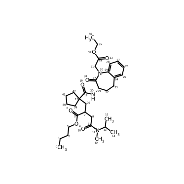 CCCCOC(=O)C(CC(=O)N(C)C(C)C)CC1(C(=O)N[C@H]2CCc3ccccc3N(CC(=O)OCC)C2=O)CCCC1